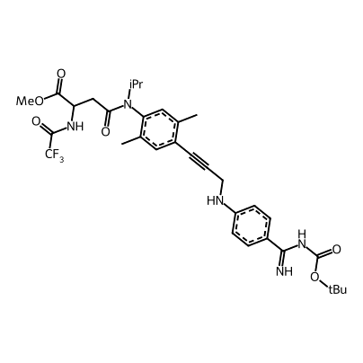 COC(=O)C(CC(=O)N(c1cc(C)c(C#CCNc2ccc(C(=N)NC(=O)OC(C)(C)C)cc2)cc1C)C(C)C)NC(=O)C(F)(F)F